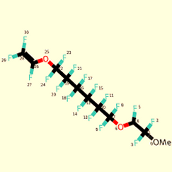 COC(F)(F)C(F)OC(F)(F)C(F)(F)C(F)(F)C(F)(F)C(F)(F)C(F)(F)OC(F)=C(F)F